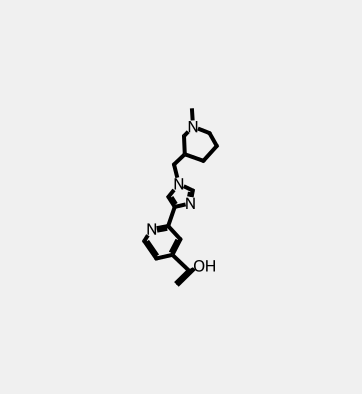 C=C(O)c1ccnc(-c2cn(CC3CCCN(C)C3)cn2)c1